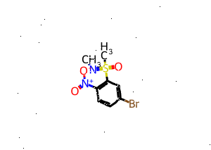 CN=S(C)(=O)c1cc(Br)ccc1[N+](=O)[O-]